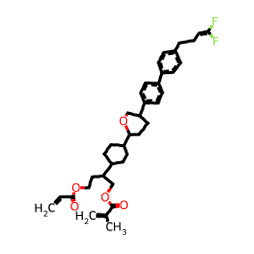 C=CC(=O)OCCC(COC(=O)C(=C)C)C1CCC(C2CCC(c3ccc(-c4ccc(CCC=C(F)F)cc4)cc3)CO2)CC1